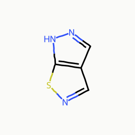 c1n[nH]c2sncc12